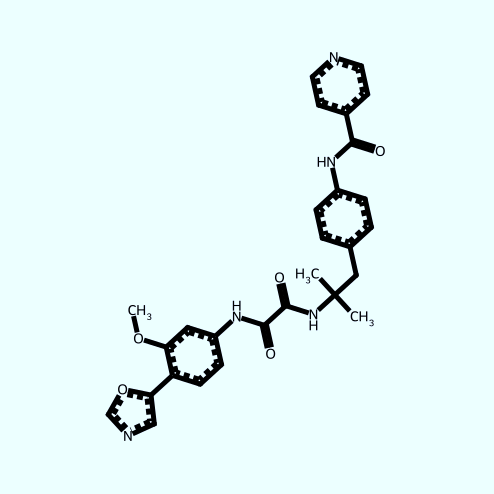 COc1cc(NC(=O)C(=O)NC(C)(C)Cc2ccc(NC(=O)c3ccncc3)cc2)ccc1-c1cnco1